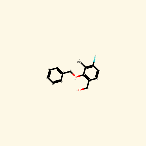 CC(=O)c1c(F)ccc(C[O])c1OCc1ccccc1